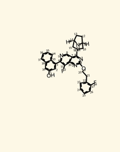 Oc1cc(-c2ncc3c(N4C[C@H]5CC[C@@H](C4)N5)nc(OCCc4ccccc4F)nc3c2F)c2ccccc2c1